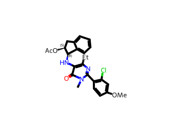 CCc1nc(-c2ccc(OC)cc2Cl)n(C)c(=O)c1N[C@@H]1c2ccccc2C[C@@H]1OC(C)=O